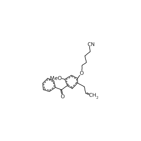 C=CCc1cc(C(=O)c2ccccc2)c(OC)cc1OCCCCC#N